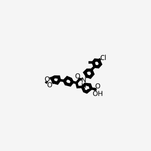 Cc1cc(Cl)ccc1-c1ccc(NC(=O)C(Cc2ccc(C(=O)O)cc2)c2ccc(-c3ccc4c(c3)OCO4)cc2)cc1